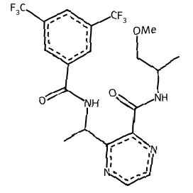 COCC(C)NC(=O)c1nccnc1C(C)NC(=O)c1cc(C(F)(F)F)cc(C(F)(F)F)c1